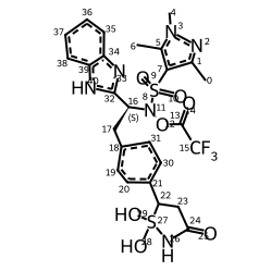 Cc1nn(C)c(C)c1S(=O)(=O)N(OC(=O)C(F)(F)F)[C@@H](Cc1ccc(C2CC(=O)NS2(O)O)cc1)c1nc2ccccc2[nH]1